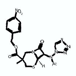 CC(=O)N(C1C(=O)N2CC(C)(C(=O)OCc3ccc([N+](=O)[O-])cc3)CS[C@H]12)n1cnnn1